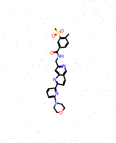 Cc1ccc(C(=O)NCc2cc3nc(-c4cccc(N5CCOCC5)n4)ccc3cn2)cc1S(C)(=O)=O